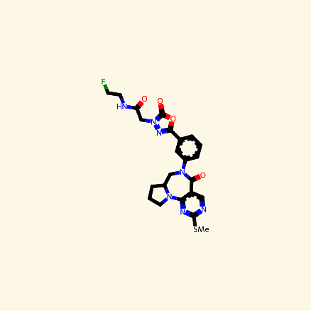 CSc1ncc2c(n1)N1CCCC1CN(c1cccc(-c3nn(CC(=O)NCCF)c(=O)o3)c1)C2=O